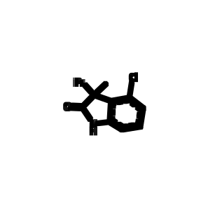 CC(C)C1(C)C(=O)Nc2cccc(Cl)c21